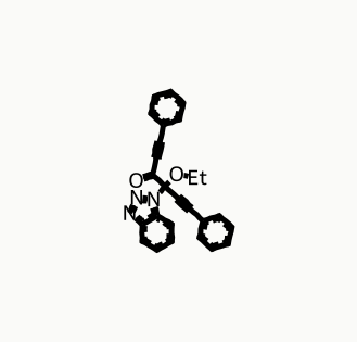 CCOC(C#Cc1ccccc1)(C(=O)C#Cc1ccccc1)n1nnc2ccccc21